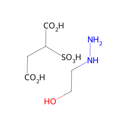 NNCCO.O=C(O)CC(C(=O)O)S(=O)(=O)O